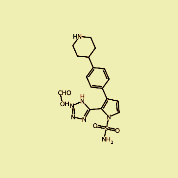 NS(=O)(=O)n1ccc(-c2ccc(C3CCNCC3)cc2)c1-c1nnn[nH]1.O=CO